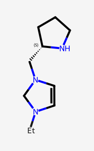 CCN1C=CN(C[C@@H]2CCCN2)C1